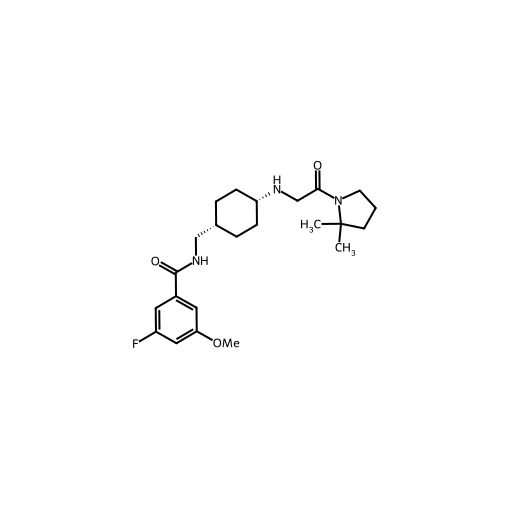 COc1cc(F)cc(C(=O)NC[C@H]2CC[C@@H](NCC(=O)N3CCCC3(C)C)CC2)c1